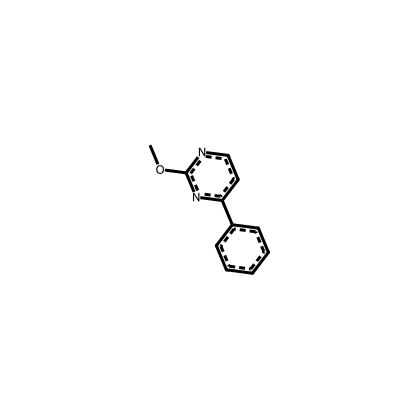 COc1nccc(-c2ccccc2)n1